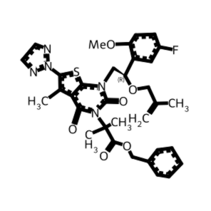 C=C(C)CO[C@@H](Cn1c(=O)n(C(C)(C)C(=O)OCc2ccccc2)c(=O)c2c(C)c(-n3nccn3)sc21)c1cc(F)ccc1OC